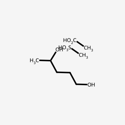 CC(=O)O.CC(O)CCCO.CS(=O)(=O)O